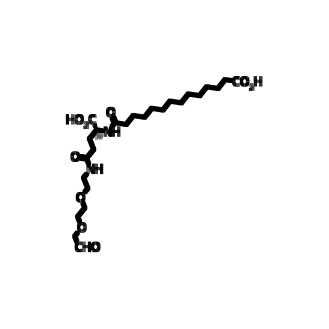 O=CCOCCOCCNC(=O)CC[C@H](NC(=O)CCCCCCCCCCCCC(=O)O)C(=O)O